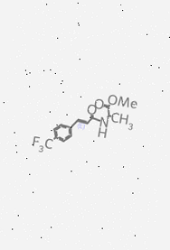 COC(=O)C(C)NC(=O)/C=C/c1ccc(C(F)(F)F)cc1